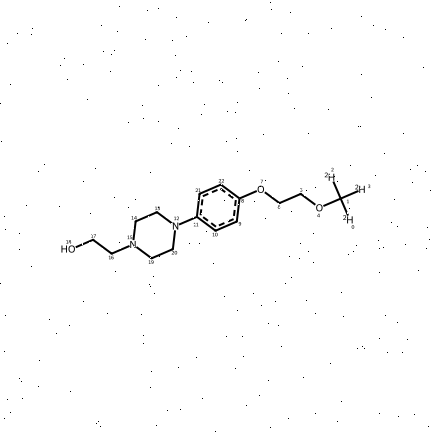 [2H]C([2H])([2H])OCCOc1ccc(N2CCN(CCO)CC2)cc1